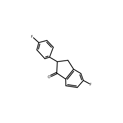 O=C1c2ccc(F)cc2CC1c1ccc(F)cc1